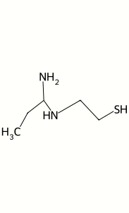 CCC(N)NCCS